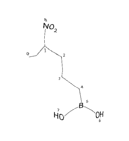 CC(CCCB(O)O)[N+](=O)[O-]